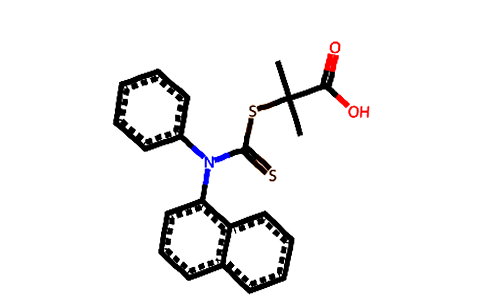 CC(C)(SC(=S)N(c1ccccc1)c1cccc2ccccc12)C(=O)O